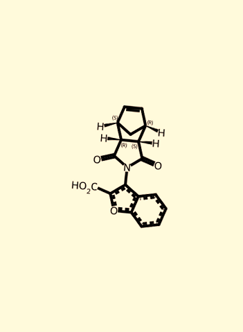 O=C(O)c1oc2ccccc2c1N1C(=O)[C@@H]2[C@H](C1=O)[C@@H]1C=C[C@H]2C1